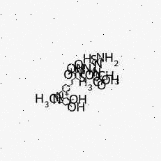 Cn1cc2cc(O)c(O)cc2[n+]1Cc1ccc(/C=C/C2=C(C(=O)O)N3C(=O)C(NC(=O)/C(=N\OC(C)(C)C(=O)O)c4csc(N)n4)C3SC2)cc1